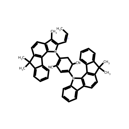 C/C=C\c1c(C)c2ccc3c(c2n1C1=C(C#N)C=C(n2c4ccccc4c4ccc5c(c42)-c2ccccc2C5(C)C)C(C#N)C1)-c1ccccc1C3(C)C